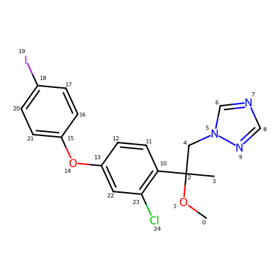 COC(C)(Cn1cncn1)c1ccc(Oc2ccc(I)cc2)cc1Cl